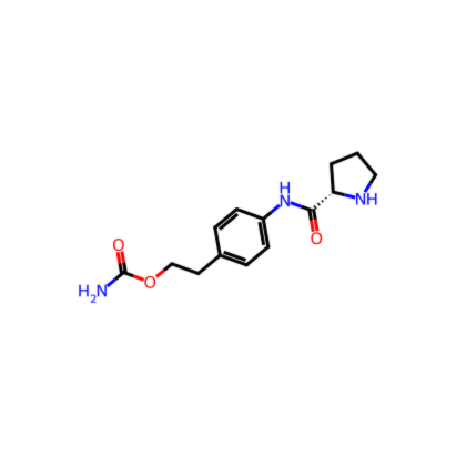 NC(=O)OCCc1ccc(NC(=O)[C@@H]2CCCN2)cc1